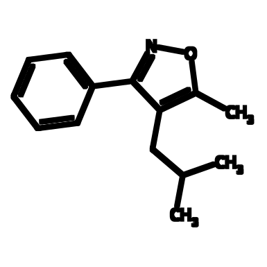 Cc1onc(-c2ccccc2)c1CC(C)C